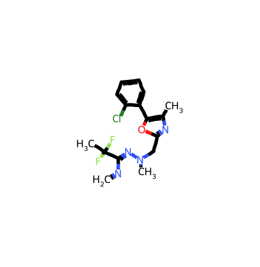 C=N/C(=N\N(C)Cc1nc(C)c(-c2ccccc2Cl)o1)C(C)(F)F